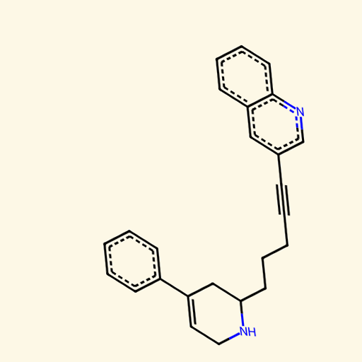 C(#Cc1cnc2ccccc2c1)CCCC1CC(c2ccccc2)=CCN1